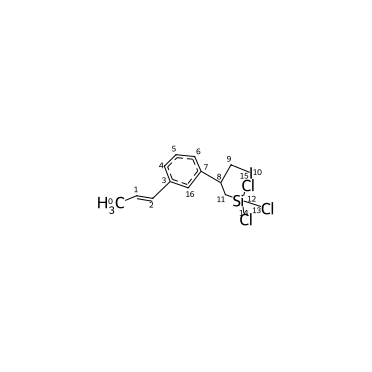 CC=Cc1cccc(C(CI)C[Si](Cl)(Cl)Cl)c1